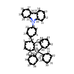 N#Cc1ccc(-c2ccc(-n3c4ccccc4c4ccccc43)cc2)c(C#N)c1[Si](c1ccccc1)(c1ccccc1)c1ccccc1